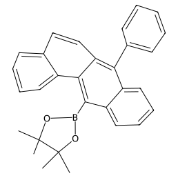 CC1(C)OB(c2c3ccccc3c(-c3ccccc3)c3ccc4ccccc4c23)OC1(C)C